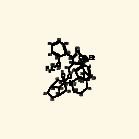 CCOC(=O)c1ccc2c(c1)N(C(=O)C1C3CCC1CC(OCc1c(-c4ccccc4OC(F)(F)F)noc1C1CC1)C3)CCC2